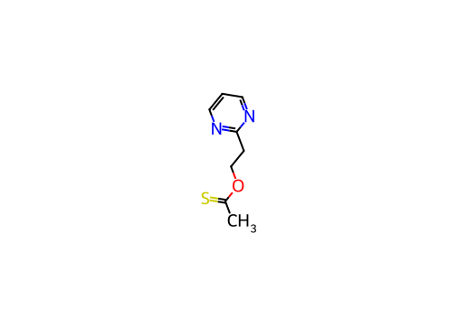 CC(=S)OCCc1ncccn1